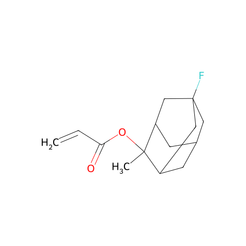 C=CC(=O)OC1(C)C2CC3CC1CC(F)(C3)C2